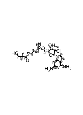 CC(C)(CO)C(=O)SCCO[PH](=O)OC[C@H]1O[C@@H](n2cnc3c(N)nc(N)nc32)[C@](C)(Cl)[C@@H]1O